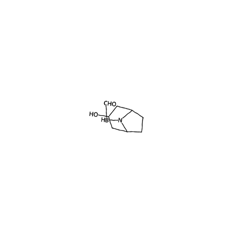 O=CBN1C2CCC1CC(O)C2